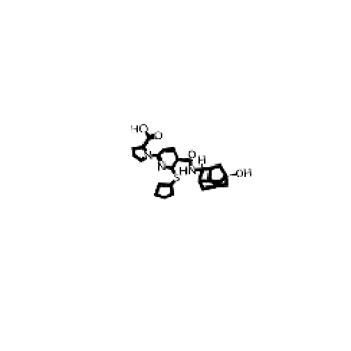 O=C(N[C@H]1C2CC3CC1C[C@@](O)(C3)C2)C1C=CC(N2CCCC2C(=O)O)=NC1SC1CCCC1